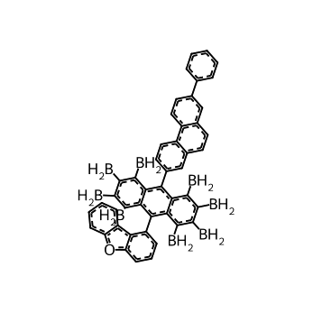 Bc1c(B)c(B)c2c(-c3cccc4oc5ccccc5c34)c3c(B)c(B)c(B)c(B)c3c(-c3ccc4c(ccc5cc(-c6ccccc6)ccc54)c3)c2c1B